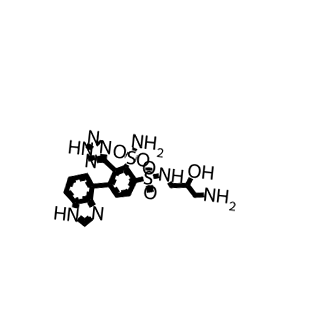 NCC(O)CNS(=O)(=O)c1ccc(-c2cccc3[nH]cnc23)c(-c2nn[nH]n2)c1S(N)(=O)=O